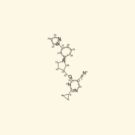 N#Cc1cnc(C2CC2)nc1OCC1CCN(c2cccc(-n3cccn3)c2)C1